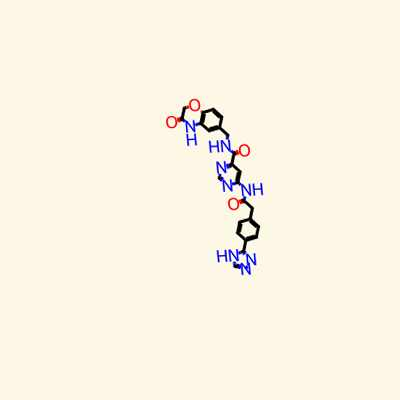 O=C(Cc1ccc(-c2nnc[nH]2)cc1)Nc1cc(C(=O)NCc2ccc3c(c2)NC(=O)CO3)ncn1